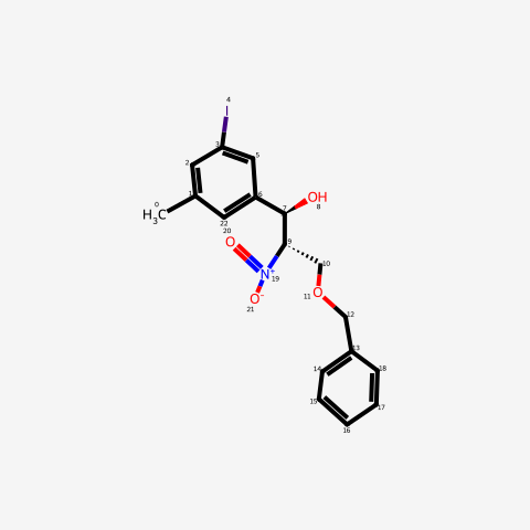 Cc1cc(I)cc([C@@H](O)[C@H](COCc2ccccc2)[N+](=O)[O-])c1